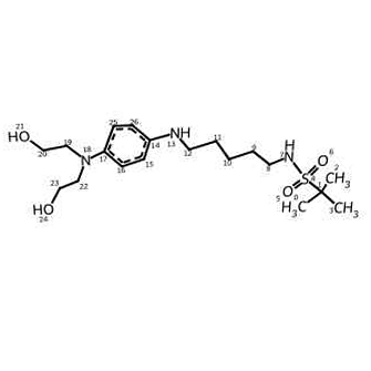 CC(C)(C)S(=O)(=O)NCCCCCNc1ccc(N(CCO)CCO)cc1